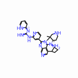 CC1(C)CNCC[C@@H]1N(N)c1nc(-c2ccnc(NC(=N)/N=c3/cccc[nH]3)c2)nc2cncc(C3CCC3)c12